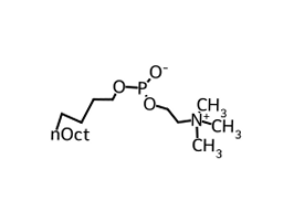 CCCCCCCCCCCCOP([O-])OCC[N+](C)(C)C